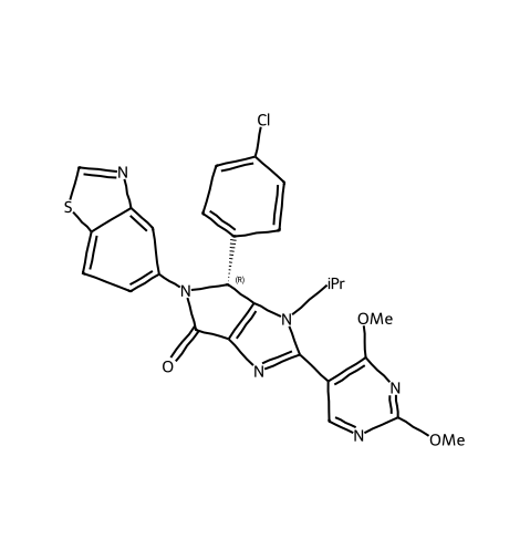 COc1ncc(-c2nc3c(n2C(C)C)[C@@H](c2ccc(Cl)cc2)N(c2ccc4scnc4c2)C3=O)c(OC)n1